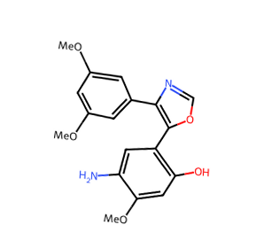 COc1cc(OC)cc(-c2ncoc2-c2cc(N)c(OC)cc2O)c1